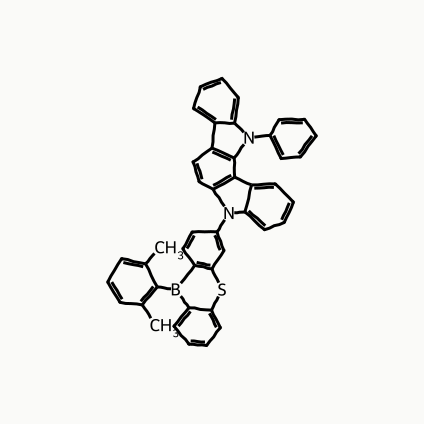 Cc1cccc(C)c1B1c2ccccc2Sc2cc(-n3c4ccccc4c4c3ccc3c5ccccc5n(-c5ccccc5)c34)ccc21